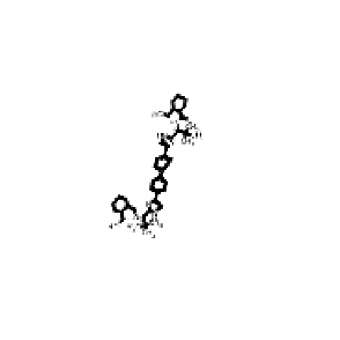 CC(C)(C)[C@H](NCC1CCCCC1CO)c1nc(-c2ccc(-c3ccc(-c4c[nH]c([C@@H](NC(=O)C5CCCCC5CO)C(C)(C)C)n4)cc3)cc2)c[nH]1